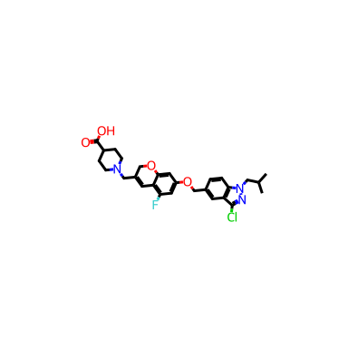 CC(C)Cn1nc(Cl)c2cc(COc3cc(F)c4c(c3)OCC(CN3CCC(C(=O)O)CC3)=C4)ccc21